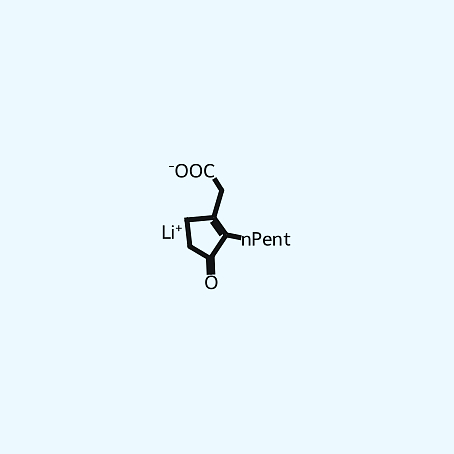 CCCCCC1=C(CC(=O)[O-])CCC1=O.[Li+]